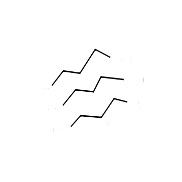 CCCCCCCCCCCCCC(=O)O.CCCCCCCCCCCCCC(=O)O.CCCCCCCCCCCCCC(=O)O.[Al]